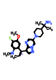 C=Nc1cc(F)c(OC)cc1/C(=C\C)c1cnn2cc(N3CCC(C(C)(C)N)CC3)cnc12